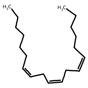 CCCCC/C=C\C/C=C\C/C=C\CCCCCC